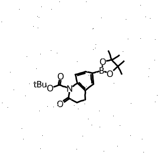 CC(C)(C)OC(=O)N1C(=O)CCc2cc(B3OC(C)(C)C(C)(C)O3)ccc21